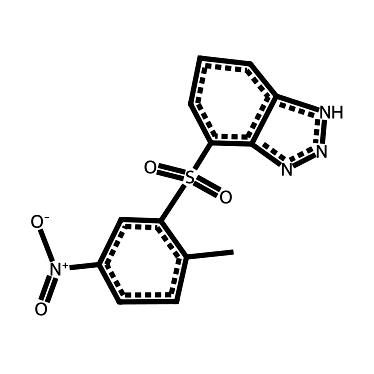 Cc1ccc([N+](=O)[O-])cc1S(=O)(=O)c1cccc2[nH]nnc12